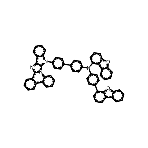 c1ccc2c(c1)oc1c(-c3ccc(N(c4ccc(-c5ccc(-n6c7ccccc7c7nc8c9ccccc9c9ccccc9n8c76)cc5)cc4)c4cccc5oc6ccccc6c45)cc3)cccc12